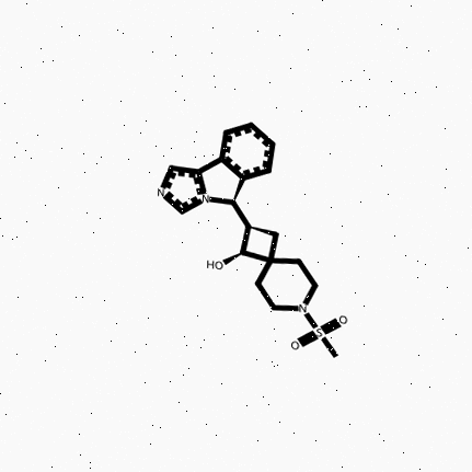 CS(=O)(=O)N1CCC2(CC1)C[C@H]([C@@H]1c3ccccc3-c3cncn31)[C@@H]2O